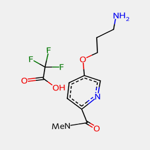 CNC(=O)c1ccc(OCCCN)cn1.O=C(O)C(F)(F)F